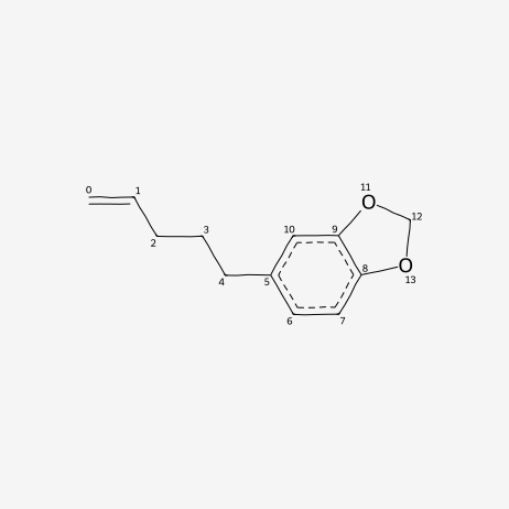 C=CCCCc1ccc2c(c1)OCO2